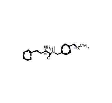 C/N=C/c1ccc(CNC(=O)[C@@H](N)CCc2ccccc2)cc1